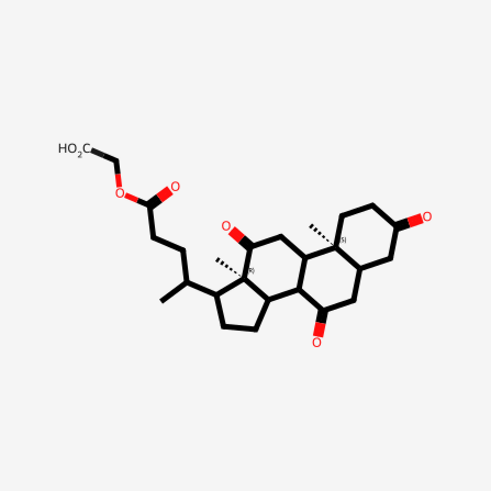 CC(CCC(=O)OCC(=O)O)C1CCC2C3C(=O)CC4CC(=O)CC[C@]4(C)C3CC(=O)[C@]12C